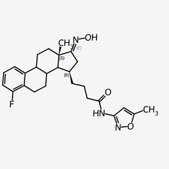 Cc1cc(NC(=O)CCC[C@@H]2C/C(=N\O)[C@@]3(C)CCC4c5cccc(F)c5CCC4C23)no1